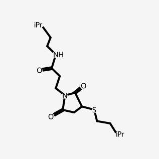 CC(C)CCNC(=O)CCN1C(=O)CC(SCCC(C)C)C1=O